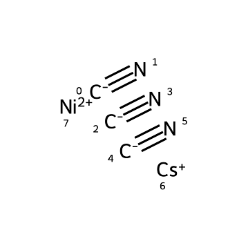 [C-]#N.[C-]#N.[C-]#N.[Cs+].[Ni+2]